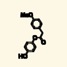 COc1ccc(CC(=O)Oc2ccc(O)cc2)cc1